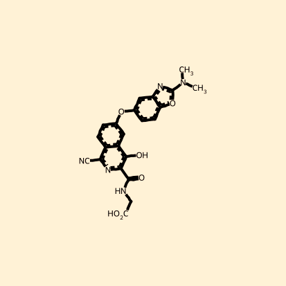 CN(C)c1nc2cc(Oc3ccc4c(C#N)nc(C(=O)NCC(=O)O)c(O)c4c3)ccc2o1